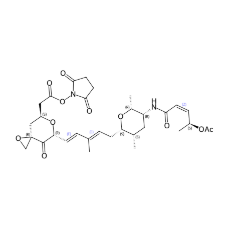 CC(=O)O[C@@H](C)/C=C\C(=O)N[C@@H]1C[C@H](C)[C@H](C/C=C(C)/C=C/[C@H]2O[C@H](CC(=O)ON3C(=O)CCC3=O)C[C@@]3(CO3)C2=O)O[C@@H]1C